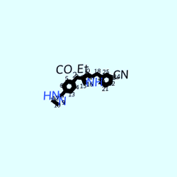 CCOC(=O)c1c(Cc2ccc(C3=NCCN3)cc2)c[nH]c1Cc1cccc(C#N)c1